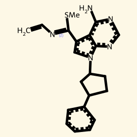 C=C/N=C(\SC)c1cn(C2CCC(c3ccccc3)C2)c2ncnc(N)c12